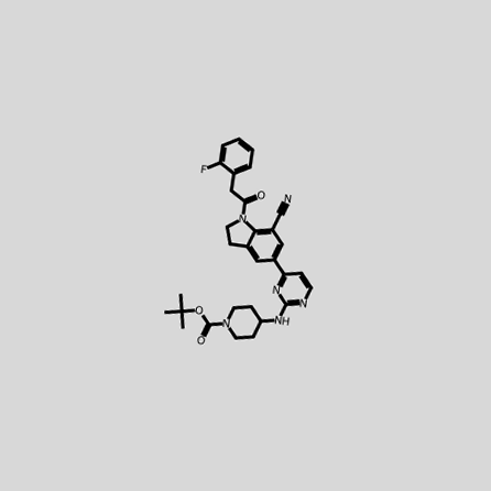 CC(C)(C)OC(=O)N1CCC(Nc2nccc(-c3cc(C#N)c4c(c3)CCN4C(=O)Cc3ccccc3F)n2)CC1